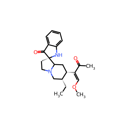 CC[C@@H]1CN2CC[C@]3(Nc4ccccc4C3=O)C2C[C@@H]1/C(=C\OC)C(C)=O